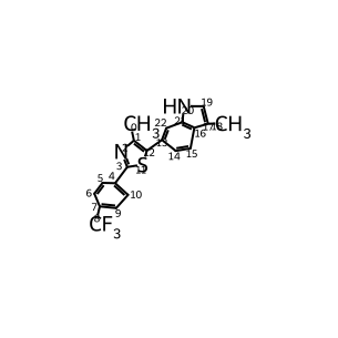 Cc1nc(-c2ccc(C(F)(F)F)cc2)sc1-c1ccc2c(C)c[nH]c2c1